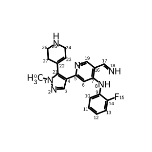 Cn1ncc(-c2cc(Nc3ccccc3F)c(C=N)cn2)c1C1=CCNCC1